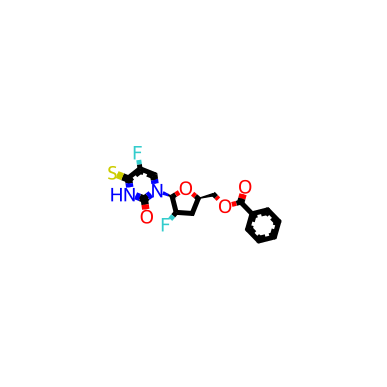 O=C(OC[C@H]1CC(F)[C@@H](n2cc(F)c(=S)[nH]c2=O)O1)c1ccccc1